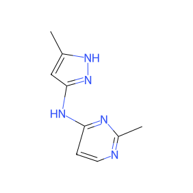 Cc1nccc(Nc2cc(C)[nH]n2)n1